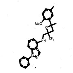 COc1ccc(F)cc1C1(C)CC(CNc2cccc3c2cnn3-c2ccccc2)(C(F)(F)F)O1